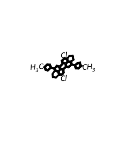 Cc1ccc(-c2cc3c4cc(Cl)c5c6c(c(-c7ccc(C)cc7)cc(c7cc(Cl)c8c(c2CCC8)c73)c64)CCC5)cc1